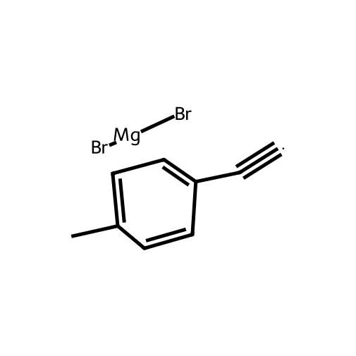 [Br][Mg][Br].[C]#Cc1ccc(C)cc1